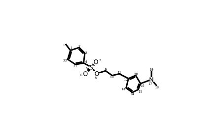 Cc1ccc(S(=O)(=O)OCCCc2cccc(N(C)C)c2)cc1